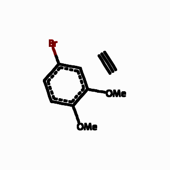 C#C.COc1ccc(Br)cc1OC